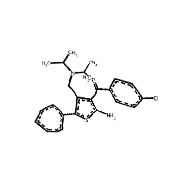 CC(C)N(Cc1c(-c2ccccc2)sc(N)c1C(=O)c1ccc(Cl)cc1)C(C)C